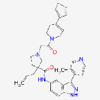 C=CCC1(C(=O)Nc2ccc3[nH]nc(-c4ccncc4C)c3c2)CCN(CC(=O)N2CC=C(C3=CCC=C3)CC2)C1